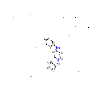 [c]1ccccc1NC1CCN(Cc2ccccc2)CC1